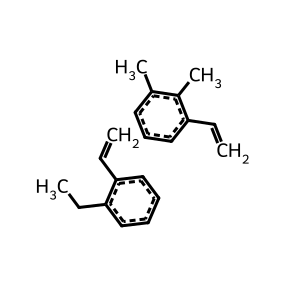 C=Cc1cccc(C)c1C.C=Cc1ccccc1CC